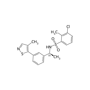 Cc1cnsc1-c1cccc([C@H](C)NS(=O)(=O)c2cccc(Cl)c2C)c1